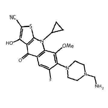 COc1c(N2CCN(CN)CC2)c(F)cc2c(=O)c3c(O)c(C#N)sc3n(C3CC3)c12